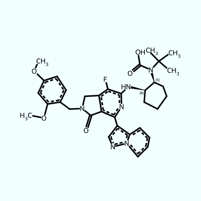 COc1ccc(CN2Cc3c(F)c(N[C@@H]4CCCC[C@@H]4N(C(=O)O)C(C)(C)C)nc(-c4cnn5ccccc45)c3C2=O)c(OC)c1